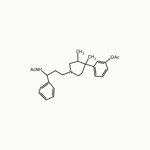 CC(=O)NC(CCN1CCC(C)(c2cccc(OC(C)=O)c2)C(C)C1)c1ccccc1